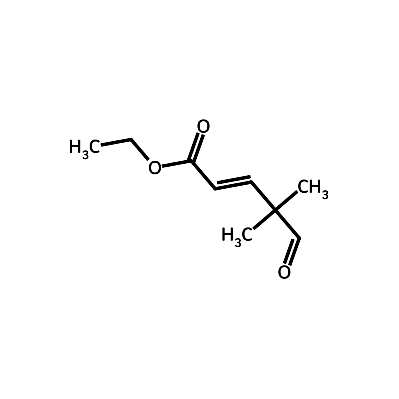 CCOC(=O)C=CC(C)(C)C=O